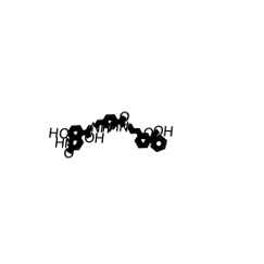 O=C(NCCCc1cccc(C2(C(=O)O)CCCCC2)c1)c1ccc(CNCC(O)c2ccc(O)c3[nH]c(=O)ccc23)nc1